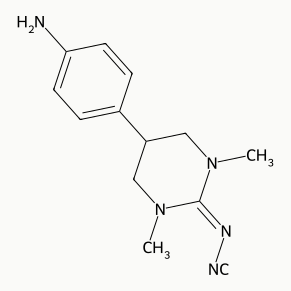 [C-]#[N+]N=C1N(C)CC(c2ccc(N)cc2)CN1C